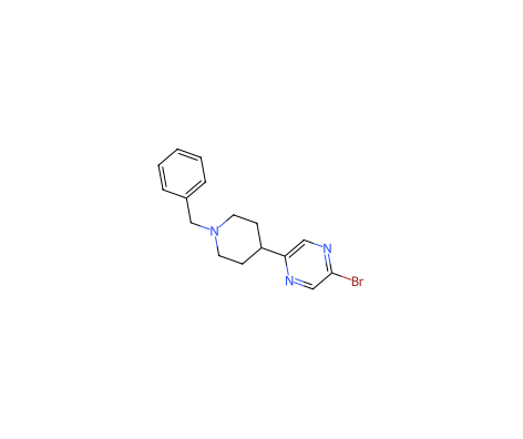 Brc1cnc(C2CCN(Cc3ccccc3)CC2)cn1